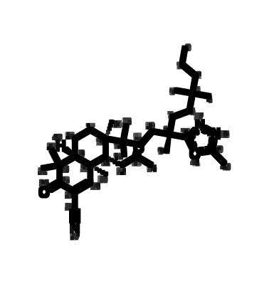 CCCC(C)(C)CC[C@@](C)(CCC(C)(C)[C@]1(C)CC[C@H]2C(C)(C)C(=O)C(C#N)=C[C@]2(C)[C@H]1CC(C)=O)c1nnc(C)o1